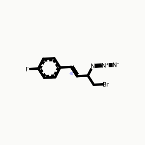 [N-]=[N+]=NC(/C=C/c1ccc(F)cc1)CBr